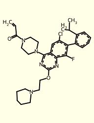 C=CC(=O)N1CCN(c2nc(OCCN3CCCCC3)nc3c(F)c(-c4ccccc4C(C)C)c(Cl)cc23)CC1